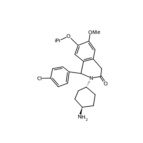 COc1cc2c(cc1OC(C)C)C(c1ccc(Cl)cc1)N([C@H]1CC[C@H](N)CC1)C(=O)C2